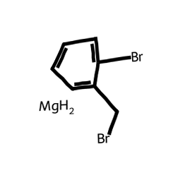 BrCc1ccccc1Br.[MgH2]